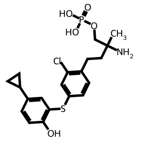 CC(N)(CCc1ccc(Sc2cc(C3CC3)ccc2O)cc1Cl)COP(=O)(O)O